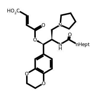 CCCCCCCC(=O)N[C@H](CN1CCCC1)[C@H](OC(=O)/C=C/C(=O)O)c1ccc2c(c1)OCCO2